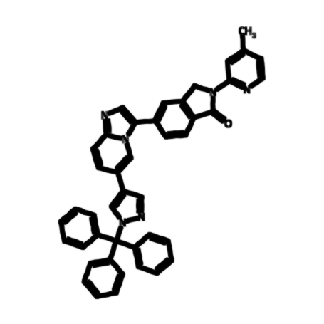 Cc1ccnc(N2Cc3cc(-c4cnc5ccc(-c6cnn(C(c7ccccc7)(c7ccccc7)c7ccccc7)c6)cn45)ccc3C2=O)c1